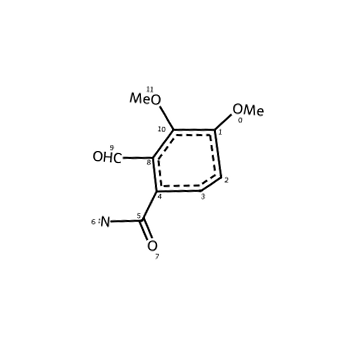 COc1ccc(C([N])=O)c(C=O)c1OC